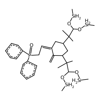 C=C1/C(=C\CP(=O)(c2ccccc2)c2ccccc2)CC(C(C)(C)C(O[SiH2]C)O[SiH2]C)CC1C(C)(C)C(O[SiH2]C)O[SiH2]C